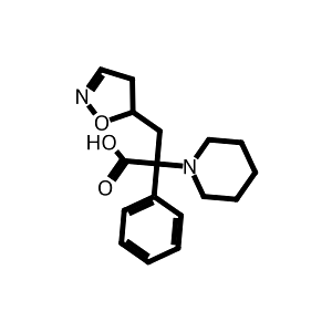 O=C(O)C(CC1CC=NO1)(c1ccccc1)N1CCCCC1